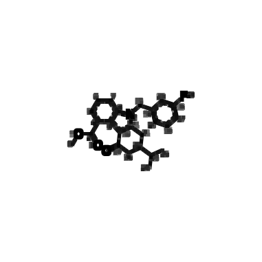 COC(=O)c1cccc2c1c1c(n2Cc2cccc(F)c2)CC(C(C)C)CC1=O